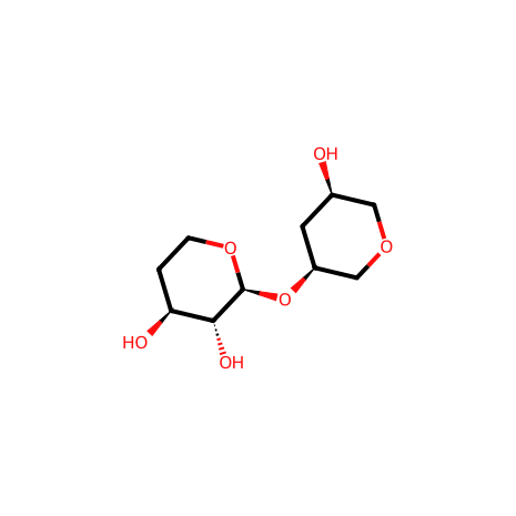 O[C@H]1COC[C@@H](O[C@@H]2OCC[C@H](O)[C@H]2O)C1